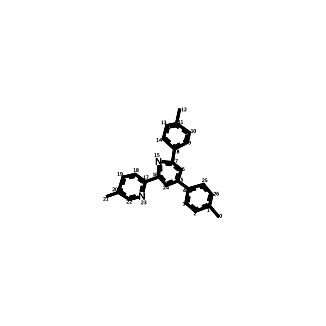 Cc1ccc(-c2cc(-c3ccc(C)cc3)nc(-c3ccc(C)cn3)c2)cc1